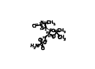 Cc1nc(Cl)sc1[C@@H]1OC(C)(C)O[C@H]1COS(N)(=O)=O